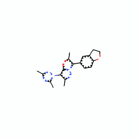 Cc1nc(C)n(-c2c(C)nn3c(-c4ccc5c(c4)CCO5)c(C)oc23)n1